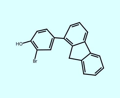 Oc1ccc(-c2cccc3c2Cc2ccccc2-3)cc1Br